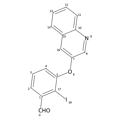 O=Cc1cccc(Oc2cnc3ccccc3c2)c1I